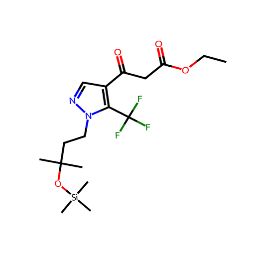 CCOC(=O)CC(=O)c1cnn(CCC(C)(C)O[Si](C)(C)C)c1C(F)(F)F